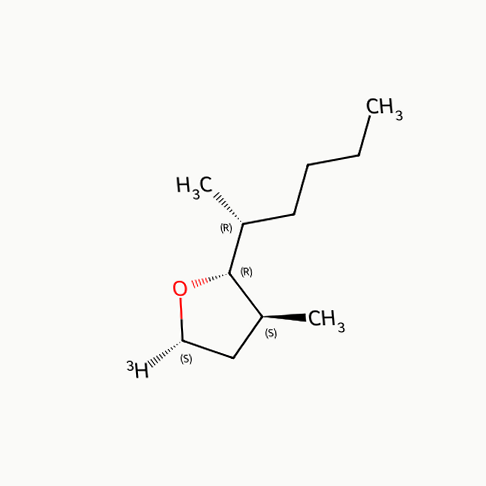 [3H][C@H]1C[C@H](C)[C@@H]([C@H](C)CCCC)O1